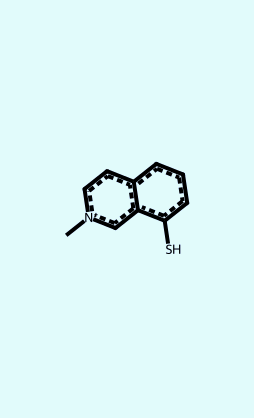 C[n+]1ccc2cccc(S)c2c1